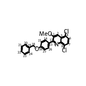 COc1cc2c(Cl)ccc(Cl)c2nc1-c1ccc(OCc2ccccc2)cc1